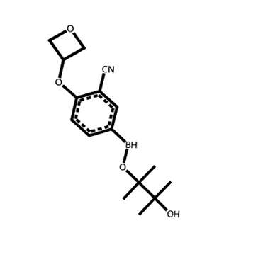 CC(C)(O)C(C)(C)OBc1ccc(OC2COC2)c(C#N)c1